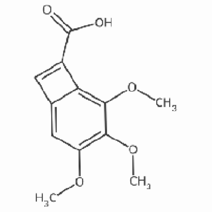 COc1cc2c(c(OC)c1OC)C(C(=O)O)=C2